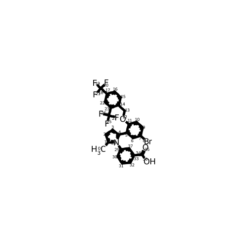 Cc1ccc(-c2cc(Br)ccc2OCc2ccc(C(F)(F)F)cc2C(F)(F)F)n1-c1cccc(C(=O)O)c1